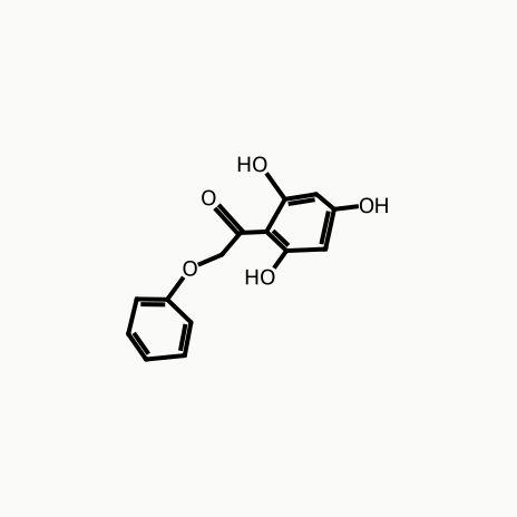 O=C(COc1ccccc1)c1c(O)cc(O)cc1O